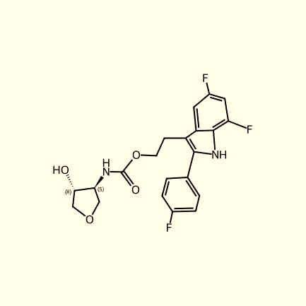 O=C(N[C@H]1COC[C@@H]1O)OCCc1c(-c2ccc(F)cc2)[nH]c2c(F)cc(F)cc12